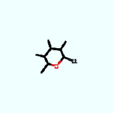 CCC1OC(C)C(C)C(C)C1C